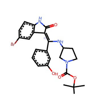 CC(C)(C)OC(=O)N1CCC(N/C(=C2\C(=O)Nc3ccc(Br)cc32)c2cccc(O)c2)C1